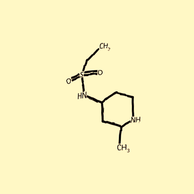 CCS(=O)(=O)NC1CCNC(C)C1